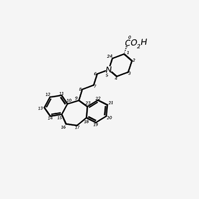 O=C(O)[C@@H]1CCCN(CCCC2c3ccccc3CCc3ccccc32)C1